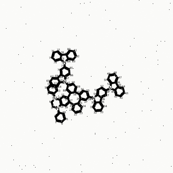 c1ccc(N2CCN(c3ccccc3)c3cc4c(cc32)-c2ccccc2-c2cc(-n3c5ccccc5c5cc(-n6c7ccccc7c7ccccc76)ccc53)ccc2-c2ccc(-n3c5ccccc5c5cc(-n6c7ccccc7c7ccccc76)ccc53)cc2-4)cc1